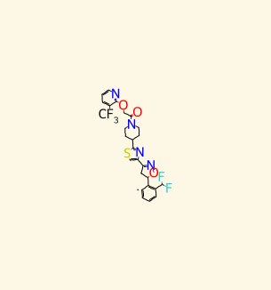 O=C(COc1ncccc1C(F)(F)F)N1CCC(c2nc(C3=NOC(c4[c]cccc4C(F)F)C3)cs2)CC1